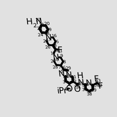 CC(C)Oc1cc2nc(C3CCN(CC(F)=C4CCN(c5ccc(N)cc5)CC4)CC3)cn2cc1C(=O)Nc1cccc(C(F)F)n1